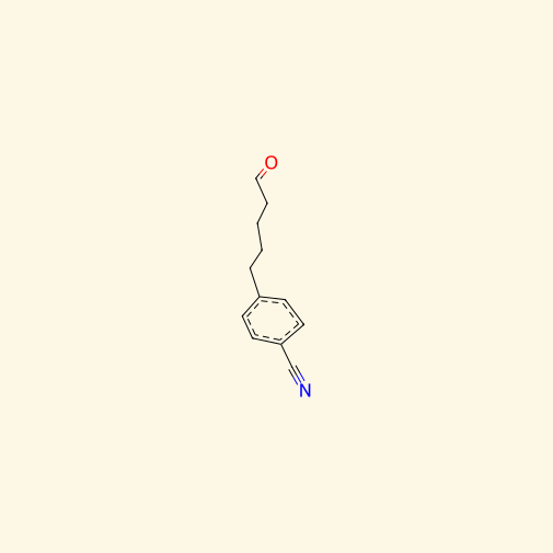 N#Cc1ccc(CCCCC=O)cc1